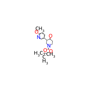 COc1ccc(C2CN(C(=O)OC(C)(C)C)CCC2=O)cn1